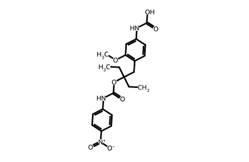 CCC(CC)(Cc1ccc(NC(=O)O)cc1OC)OC(=O)Nc1ccc([N+](=O)[O-])cc1